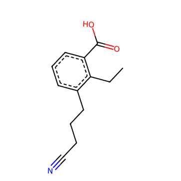 CCc1c(CCCC#N)cccc1C(=O)O